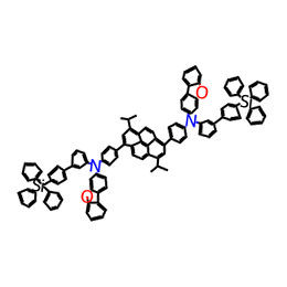 CC(C)c1cc(-c2ccc(N(c3cccc(-c4ccc([Si](c5ccccc5)(c5ccccc5)c5ccccc5)cc4)c3)c3ccc4c(c3)oc3ccccc34)cc2)c2ccc3c(C(C)C)cc(-c4ccc(N(c5cccc(-c6ccc([Si](c7ccccc7)(c7ccccc7)c7ccccc7)cc6)c5)c5ccc6c(c5)oc5ccccc56)cc4)c4ccc1c2c43